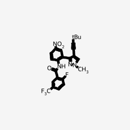 Cn1cc(C#CC(C)(C)C)c(-c2cc([N+](=O)[O-])ccc2NC(=O)c2cc(C(F)(F)F)ccc2F)n1